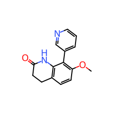 COc1ccc2c(c1-c1cccnc1)NC(=O)CC2